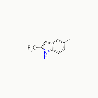 Cc1ccc2[nH]c(C(F)(F)F)cc2c1